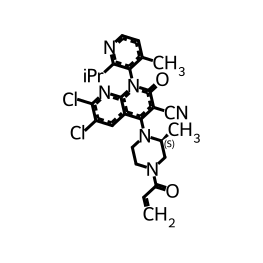 C=CC(=O)N1CCN(c2c(C#N)c(=O)n(-c3c(C)ccnc3C(C)C)c3nc(Cl)c(Cl)cc23)[C@@H](C)C1